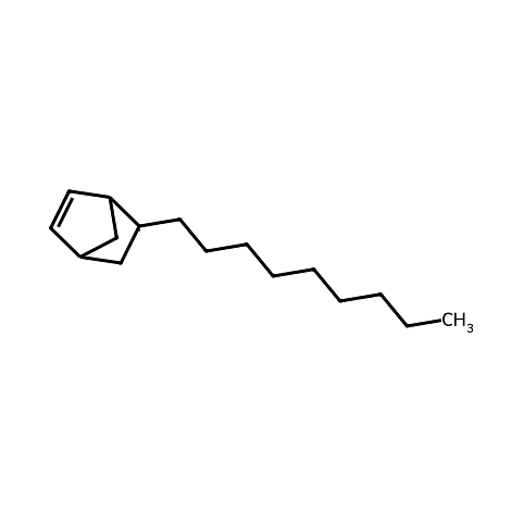 CCCCCCCCC[C]1CC2C=CC1C2